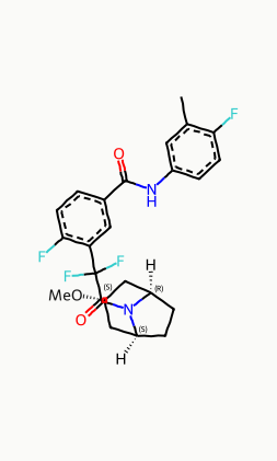 CO[C@@H]1C[C@H]2CC[C@@H](C1)N2C(=O)C(F)(F)c1cc(C(=O)Nc2ccc(F)c(C)c2)ccc1F